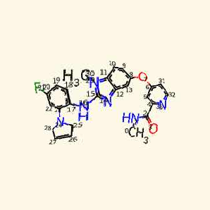 CNC(=O)c1cc(Oc2ccc3c(c2)nc(Nc2ccc(F)cc2N2CC=CC2)n3C)ccn1